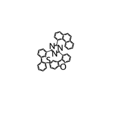 c1ccc2c(c1)ccc1cccc(-c3nc(-c4cccc5c4sc4ccccc45)nc(-c4cccc5oc6ccccc6c45)n3)c12